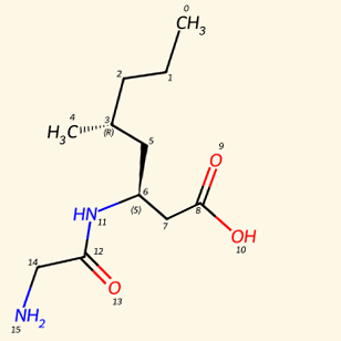 CCC[C@@H](C)C[C@@H](CC(=O)O)NC(=O)CN